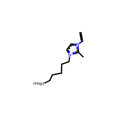 C=Cn1cc[n+](CCCCCCCCCCCC)c1C